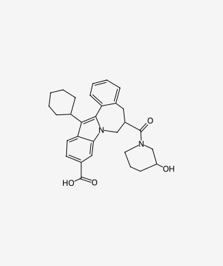 O=C(O)c1ccc2c(C3CCCCC3)c3n(c2c1)CC(C(=O)N1CCCC(O)C1)Cc1ccccc1-3